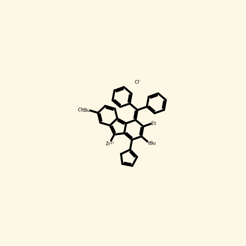 CCc1c(C(C)(C)C)c(C2=CC=CC2)c2c(c1=C(c1ccccc1)c1ccccc1)=c1ccc(C(C)(C)C)cc1=[C]2[Zr+2].[Cl-].[Cl-]